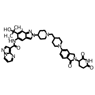 CC(C)(O)c1cc2nn(C3CCN(CC4CCN(c5ccc6c(c5)CN(C5CCC(=O)NC5=O)C6=O)CC4)CC3)cc2cc1NC(=O)c1cnn2cccnc12